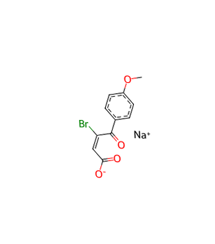 COc1ccc(C(=O)/C(Br)=C\C(=O)[O-])cc1.[Na+]